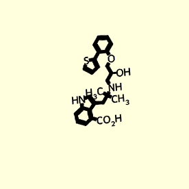 CC(C)(Cc1c[nH]c2cccc(C(=O)O)c12)NC[C@H](O)COc1ccccc1-c1cccs1